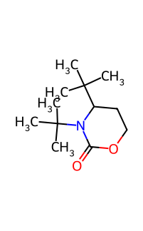 CC(C)(C)C1CCOC(=O)N1C(C)(C)C